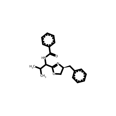 CC(C)C(NC(=O)c1ccccc1)C1=N[C@@H](Cc2ccccc2)CO1